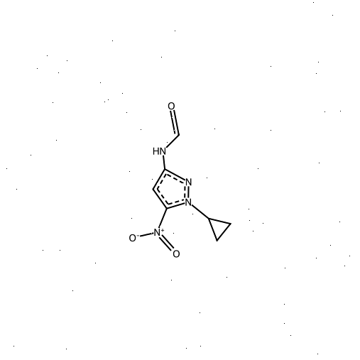 O=CNc1cc([N+](=O)[O-])n(C2CC2)n1